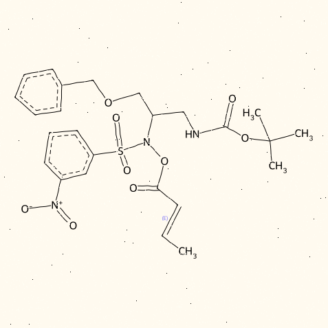 C/C=C/C(=O)ON(C(CNC(=O)OC(C)(C)C)COCc1ccccc1)S(=O)(=O)c1cccc([N+](=O)[O-])c1